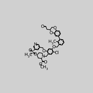 COC(=O)C1CCCCN1Cc1cc(Cl)c(OCc2cccc(-c3ccc4c(c3)OC(CC=O)CO4)c2C)cc1OCc1cncc(S(C)(=O)=O)c1